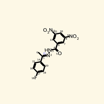 C/C(=N\NC(=O)c1cc([N+](=O)[O-])cc([N+](=O)[O-])c1)c1ccc(F)cc1